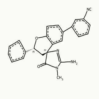 [C-]#[N+]c1cccc(-c2ccc3c(c2)[C@]2(C[C@H](c4ccccc4)O3)N=C(N)N(C)C2=O)c1